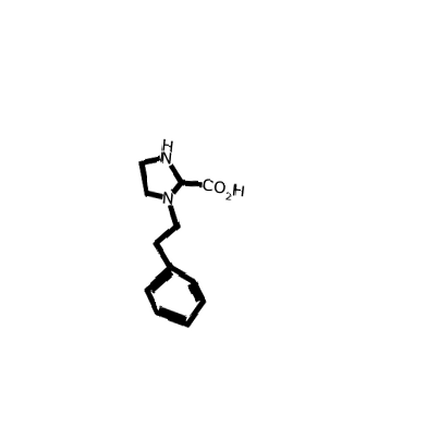 O=C(O)C1NCCN1CCc1ccccc1